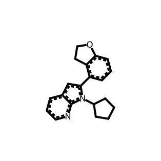 c1cc2c(c(-c3cc4cccnc4n3C3CCCC3)c1)CCO2